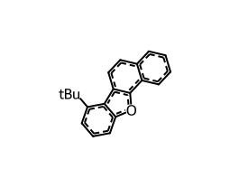 CC(C)(C)c1cccc2oc3c4ccccc4ccc3c12